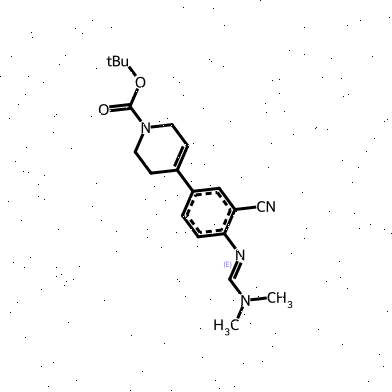 CN(C)/C=N/c1ccc(C2=CCN(C(=O)OC(C)(C)C)CC2)cc1C#N